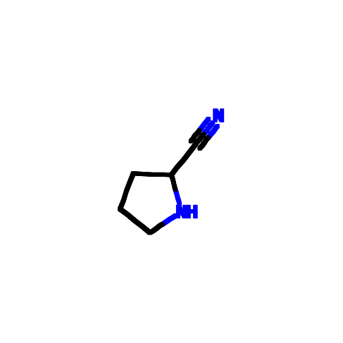 N#CC1CCCN1